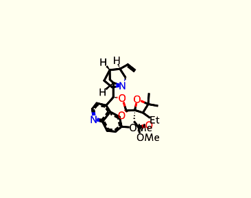 C=C[C@H]1C[N@]2CC[C@H]1C[C@H]2[C@H](OC(=O)[C@@]1(CC(=O)OC)OC(C)(C)C1CC)c1ccnc2ccc(OC)cc12